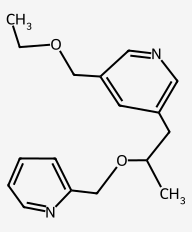 CCOCc1cncc(CC(C)OCc2ccccn2)c1